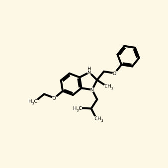 CCOc1ccc2c(c1)N(CC(C)C)C(C)(COc1ccccc1)N2